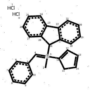 Cl.Cl.[CH3][Ti](=[CH]c1ccccc1)([C]1=CC=CC1)[CH]1c2ccccc2-c2ccccc21